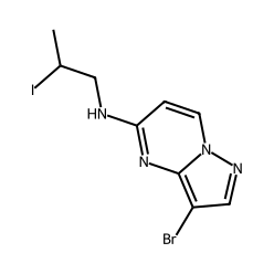 CC(I)CNc1ccn2ncc(Br)c2n1